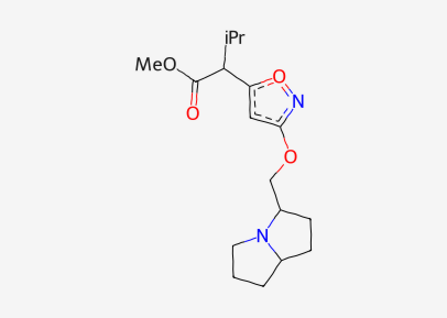 COC(=O)C(c1cc(OCC2CCC3CCCN32)no1)C(C)C